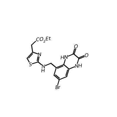 CCOC(=O)Cc1csc(NCc2cc(Br)cc3[nH]c(=O)c(=O)[nH]c23)n1